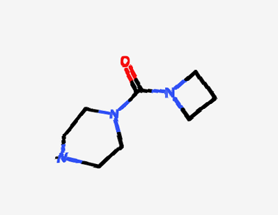 O=C(N1CCC1)N1CC[N]CC1